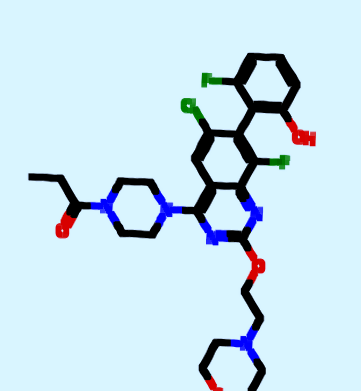 CCC(=O)N1CCN(c2nc(OCCN3CCOCC3)nc3c(F)c(-c4c(O)cccc4F)c(Cl)cc23)CC1